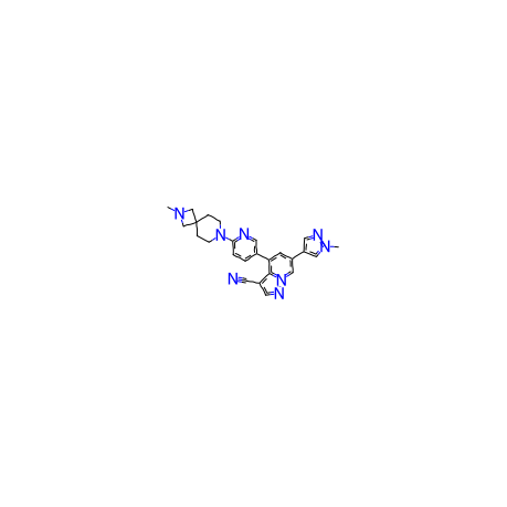 CN1CC2(CCN(c3ccc(-c4cc(-c5cnn(C)c5)cn5ncc(C#N)c45)cn3)CC2)C1